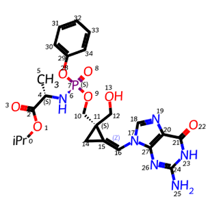 CC(C)OC(=O)[C@H](C)N[P@](=O)(OC[C@@]1(CO)C/C1=C/n1cnc2c(=O)[nH]c(N)nc21)Oc1ccccc1